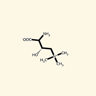 C[N+](C)(C)C[C@H](O)C(N)C(=O)[O-]